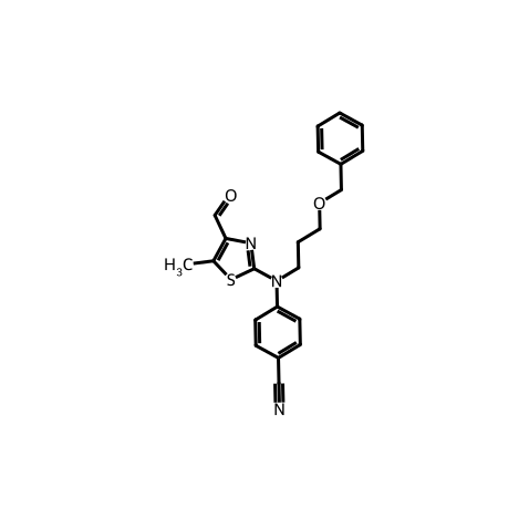 Cc1sc(N(CCCOCc2ccccc2)c2ccc(C#N)cc2)nc1C=O